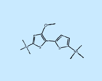 COc1c[c]([Sn]([CH3])([CH3])[CH3])sc1-c1cc[c]([Sn]([CH3])([CH3])[CH3])s1